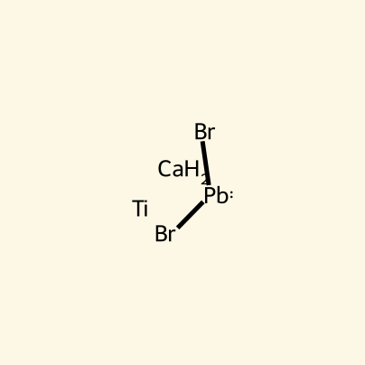 [Br][Pb][Br].[CaH2].[Ti]